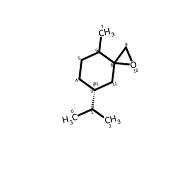 CC(C)[C@@H]1CCC(C)C2(CO2)C1